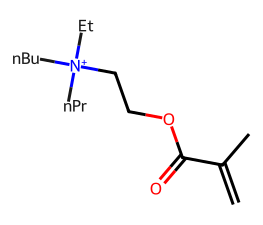 C=C(C)C(=O)OCC[N+](CC)(CCC)CCCC